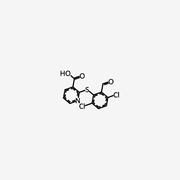 O=Cc1c(Cl)ccc(Cl)c1Sc1ncccc1C(=O)O